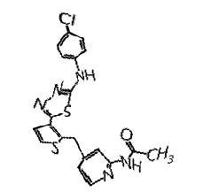 CC(=O)Nc1cc(Cc2sccc2-c2nnc(Nc3ccc(Cl)cc3)s2)ccn1